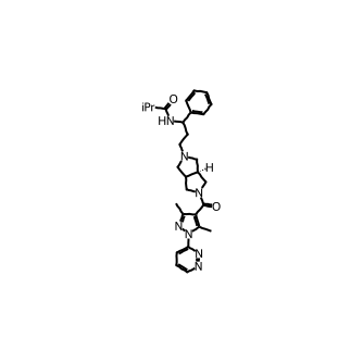 Cc1nn(-c2cccnn2)c(C)c1C(=O)N1CC2CN(CCC(NC(=O)C(C)C)c3ccccc3)C[C@H]2C1